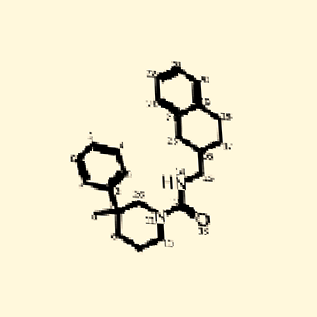 CC1(c2ccccc2)CCCN(C(=O)NCC2CCc3ccccc3C2)C1